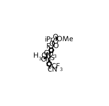 COC(=O)OC(OC(=O)c1ccc(N2C(=S)N(c3ccc(C#N)c(C(F)(F)F)c3)C(=O)C2(C)C)cc1F)C(C)C